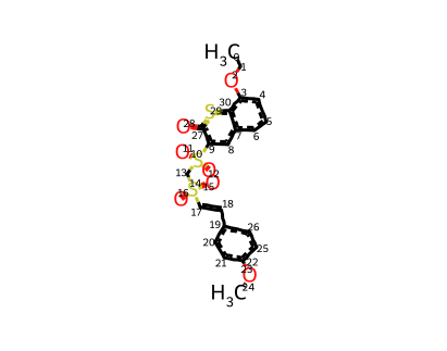 CCOc1cccc2cc(S(=O)(=O)CS(=O)(=O)C=Cc3ccc(OC)cc3)c(=O)sc12